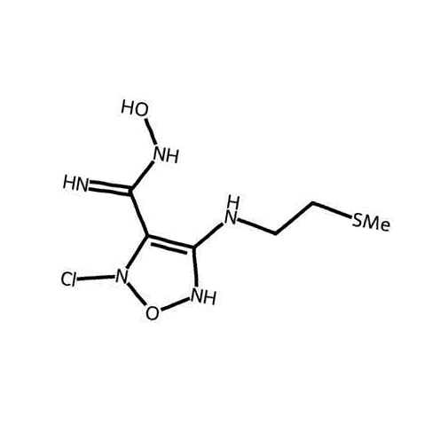 CSCCNC1=C(C(=N)NO)N(Cl)ON1